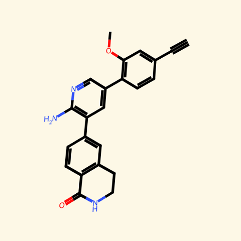 C#Cc1ccc(-c2cnc(N)c(-c3ccc4c(c3)CCNC4=O)c2)c(OC)c1